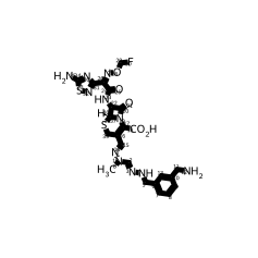 CN(/C=N/NCc1cccc(CN)c1)N=CC1=C(C(=O)O)N2C(=O)C(NC(=O)/C(=N\OCF)c3nsc(N)n3)[C@@H]2SC1